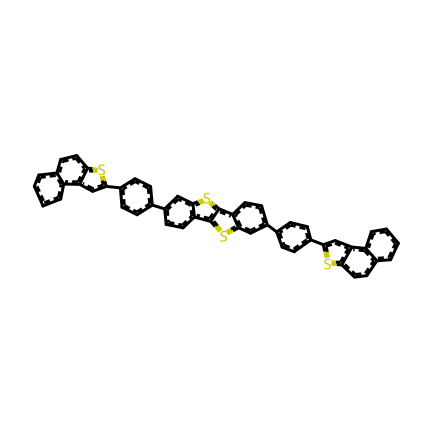 c1ccc2c(c1)ccc1sc(-c3ccc(-c4ccc5c(c4)sc4c6ccc(-c7ccc(-c8cc9c(ccc%10ccccc%109)s8)cc7)cc6sc54)cc3)cc12